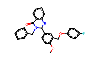 COc1ccc(C2Nc3ccccc3C(=O)N2Cc2ccccc2)cc1COc1ccc(F)cc1